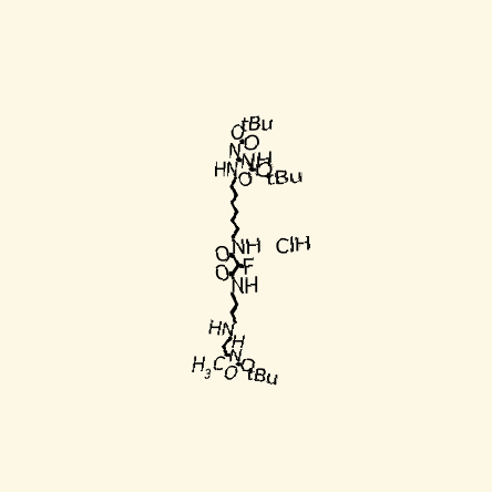 CC(CCNCCCCNC(=O)C(F)C(=O)NCCCCCCCCN/C(=N/C(=O)OC(C)(C)C)NC(=O)OC(C)(C)C)NC(=O)OC(C)(C)C.Cl